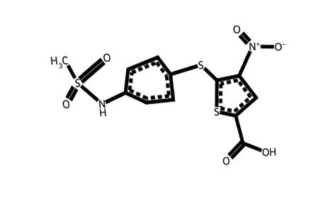 CS(=O)(=O)Nc1ccc(Sc2sc(C(=O)O)cc2[N+](=O)[O-])cc1